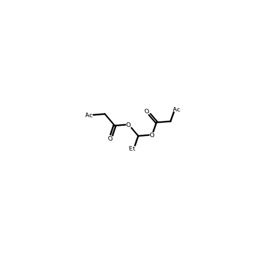 CC[C](OC(=O)CC(C)=O)OC(=O)CC(C)=O